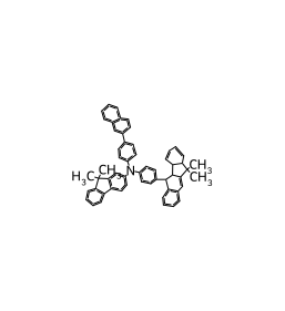 CC1(C)c2ccccc2-c2ccc(N(c3ccc(-c4ccc5ccccc5c4)cc3)c3ccc(C4c5ccccc5C=C5C4C4C=CC=CC4C5(C)C)cc3)cc21